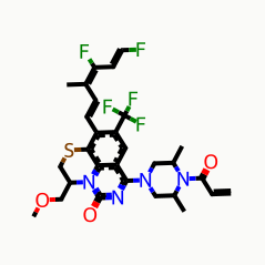 C=CC(=O)N1C(C)CN(c2nc(=O)n3c4c(c(/C=C/C(C)=C(F)\C=C\F)c(C(F)(F)F)cc24)SCC3COC)CC1C